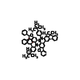 CC(C)(C)c1ccc(N2B3c4cc5oc(-c6ccccc6)c(-c6ccccc6)c5cc4N(c4ccc(C(C)(C)C)cc4-c4ccccc4)c4c3c(cc3c4oc4ccccc43)-c3cc4c(cc32)C(C)(C)c2ccccc2-4)cc1